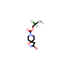 CC(Cl)(Cl)COC(=O)N1CCC2(CC1)CC(Br)=NO2